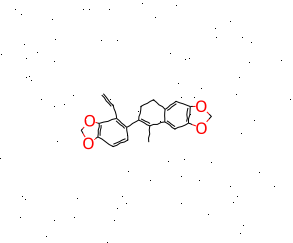 C=Cc1c(C2=C(C)c3cc4c(cc3CC2)OCO4)ccc2c1OCO2